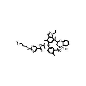 CCC1CN(Cc2cc([C@@H](c3ccc4c(nnn4CC)c3C)C(C)(C)NC(=O)c3cnc(OCCCOC)nc3)ccc2C)S(O)(O)c2ccccc2O1